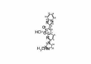 C[C@@H]1CN(c2ccc3cc(-c4cn5ccccc5n4)c(=O)oc3n2)CCN1.Cl